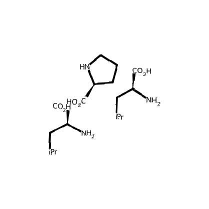 CC(C)C[C@H](N)C(=O)O.CC(C)C[C@H](N)C(=O)O.O=C(O)[C@@H]1CCCN1